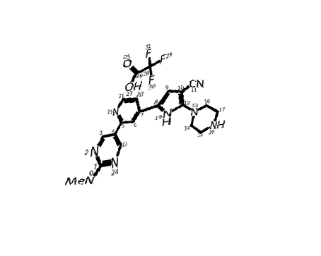 CNc1ncc(-c2cc(-c3cc(C#N)c(N4CCNCC4)[nH]3)ccn2)cn1.O=C(O)C(F)(F)F